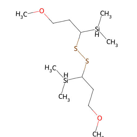 COCCC(SSC(CCOC)[SiH](C)C)[SiH](C)C